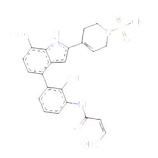 Cc1c(NC(=O)/C=C\C=O)cccc1-c1ccc(C=O)c2[nH]c(C3=CCN(S(C)(=O)=O)CC3)cc12